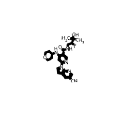 CC(C)(O)C(F)CNC(=O)c1cnc(-n2ccc3cc(C#N)cnc32)cc1NC1CCOCC1